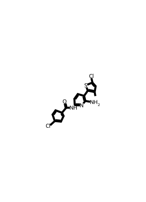 Cc1cc(Cl)sc1-c1ccc(NC(=O)c2ccc(Cl)cc2)nc1N